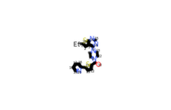 CCc1cc2c(N3CCN(C(=O)c4ccc(-c5ccccn5)s4)CC3)ncnc2s1